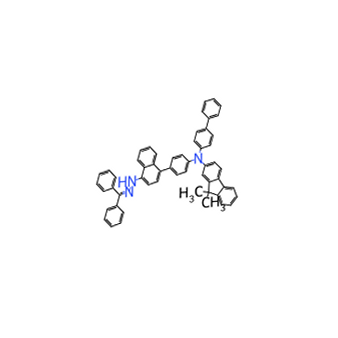 CC1(C)c2ccccc2-c2ccc(N(c3ccc(-c4ccccc4)cc3)c3ccc(-c4ccc(NN=C(c5ccccc5)c5ccccc5)c5ccccc45)cc3)cc21